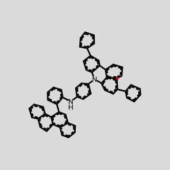 c1ccc(-c2ccc(N(c3ccc(Nc4ccccc4-c4cc5ccccc5c5ccc6ccccc6c45)cc3)c3ccc(-c4ccccc4)cc3-c3ccccc3)cc2)cc1